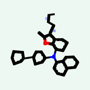 C=c1oc2c(N(c3ccc(-c4ccccc4)cc3)c3cccc4ccccc34)cccc2/c1=C/C=C\C